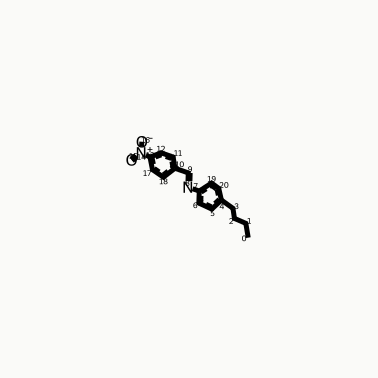 CCCCc1ccc(/N=C/c2ccc([N+](=O)[O-])cc2)cc1